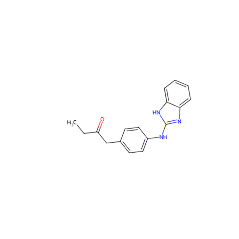 CCC(=O)Cc1ccc(Nc2nc3ccccc3[nH]2)cc1